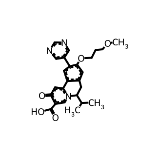 COCCCOc1cc2c(cc1-c1cncnc1)-c1cc(=O)c(C(=O)O)cn1C(C(C)C)C2